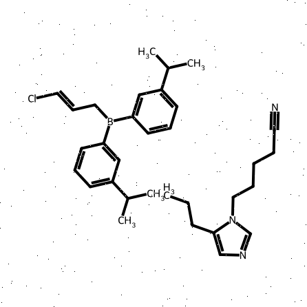 CC(C)c1cccc(B(CC=CCl)c2cccc(C(C)C)c2)c1.CCCc1cncn1CCCCC#N